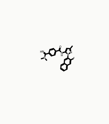 Cc1cc(NC(=O)c2ccc(C(=N)N(C)C)cc2)n(-c2cc3ccccc3cc2F)n1